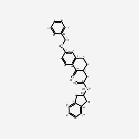 O=C(CC1CCc2cc(OCc3ccccc3)ccc2C1=O)NC1Cc2ccccc2C1